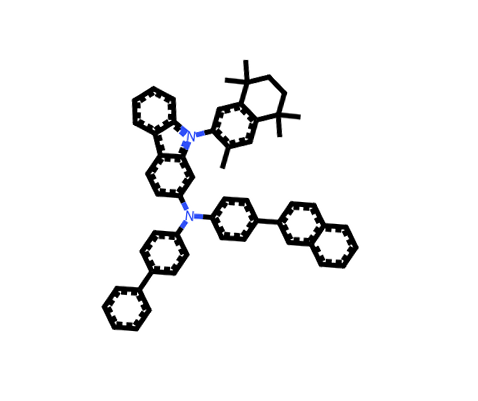 Cc1cc2c(cc1-n1c3ccccc3c3ccc(N(c4ccc(-c5ccccc5)cc4)c4ccc(-c5ccc6ccccc6c5)cc4)cc31)C(C)(C)CCC2(C)C